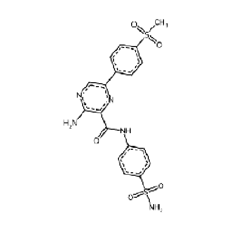 CS(=O)(=O)c1ccc(-c2cnc(N)c(C(=O)Nc3ccc(S(N)(=O)=O)cc3)n2)cc1